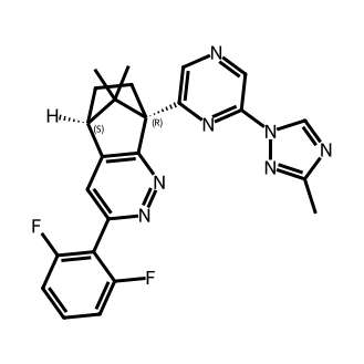 Cc1ncn(-c2cncc([C@]34CC[C@H](c5cc(-c6c(F)cccc6F)nnc53)C4(C)C)n2)n1